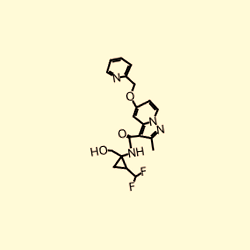 Cc1nn2ccc(OCc3ccccn3)cc2c1C(=O)NC1(CO)CC1C(F)F